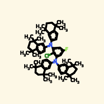 CC1(C)CCC(C)(C)c2cc(N(c3ccc4c(c3)C(C)(C)CCC4(C)C)c3cc(F)cc(N(c4ccc5c(c4)C(C)(C)CCC5(C)C)c4ccc5c(c4)C(C)(C)CCC5(C)C)c3Cl)ccc21